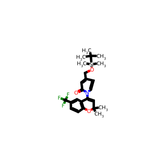 CC1(C)C=C(n2ccc(CO[Si](C)(C)C(C)(C)C)cc2=O)c2cc(C(F)(F)F)ccc2O1